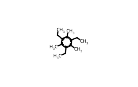 CCc1c(C)c(CC)c(C)c(CC)c1C